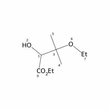 CCOC(=O)C(O)C(C)(C)OCC